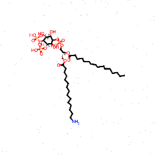 CCCCCCCCCCCCCCCC(=O)O[C@H](COC(=O)CCCCCCCCCCCCCCN)COP(=O)(O)OC1C(O)[C@H](OP(=O)(O)O)C(OP(=O)(O)O)[C@H](O)[C@@H]1O